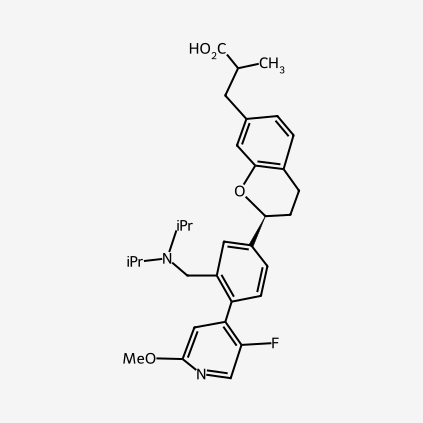 COc1cc(-c2ccc([C@@H]3CCc4ccc(CC(C)C(=O)O)cc4O3)cc2CN(C(C)C)C(C)C)c(F)cn1